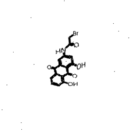 O=C(CBr)Nc1cc(O)c2c(c1)C(=O)c1cccc(O)c1C2=O